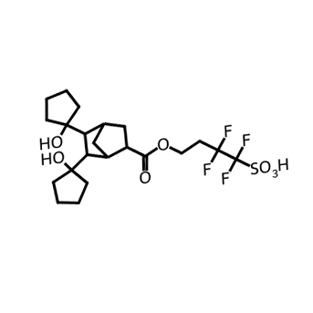 O=C(OCCC(F)(F)C(F)(F)S(=O)(=O)O)C1CC2CC1C(C1(O)CCCC1)C2C1(O)CCCC1